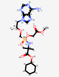 CC(C)OC(=O)CO[P@](=O)(CO[C@H](C)Cn1cnc2c(N)ncnc21)NC(C)(C)C(=O)OC1CCCCC1